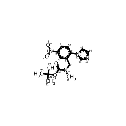 CN(Cc1cc([N+](=O)[O-])ccc1-n1ccnc1)C(=O)OC(C)(C)C